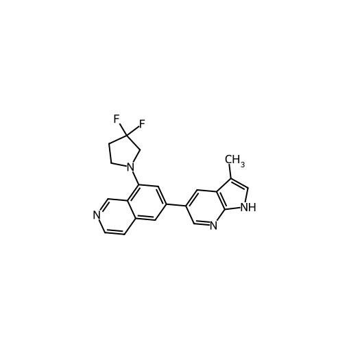 Cc1c[nH]c2ncc(-c3cc(N4CCC(F)(F)C4)c4cnccc4c3)cc12